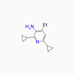 CCc1cc(C2CC2)nc(C2CC2)c1N